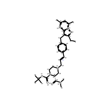 CCc1nn2c(C)cc(C)nc2c1Cc1ccc(/C=C/CN2CCN(C(=O)OC(C)(C)C)[C@@H](C(=O)N(C)C)C2)cc1